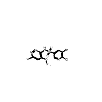 COc1cc(Cl)nnc1NS(=O)(=O)c1cnc(Cl)c(Br)c1